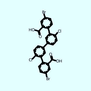 O=C(O)c1cc(Br)ccc1-c1cc(-c2ccc(Cl)c(-c3ccc(Br)cc3C(=O)O)c2)ccc1Cl